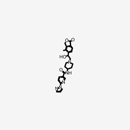 Cc1c(C(O)CN2CCC(NC(=O)c3ccc(-n4cccn4)nc3)CC2)ccc2c1COC2=O